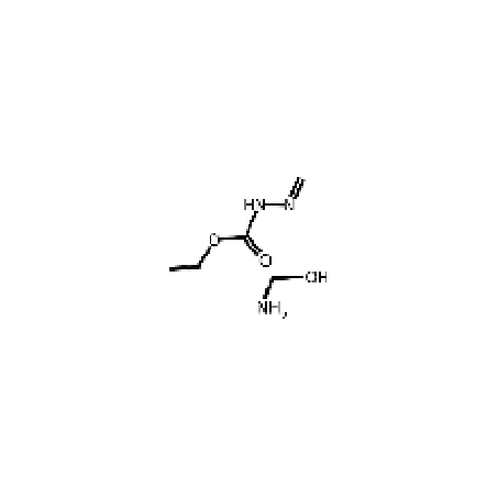 C=NNC(=O)OCC.NCO